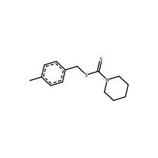 Cc1ccc(CSC(=S)N2CCCCC2)cc1